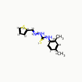 Cc1ccc(NC(=S)NN=Cc2cccs2)c(C)c1